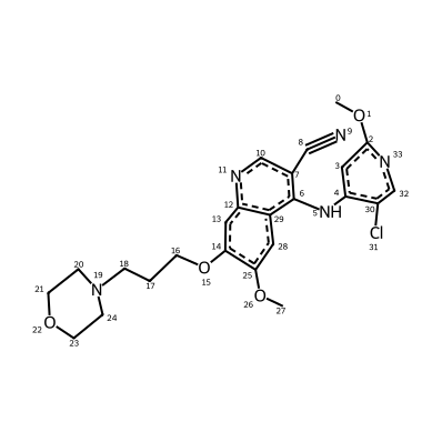 COc1cc(Nc2c(C#N)cnc3cc(OCCCN4CCOCC4)c(OC)cc23)c(Cl)cn1